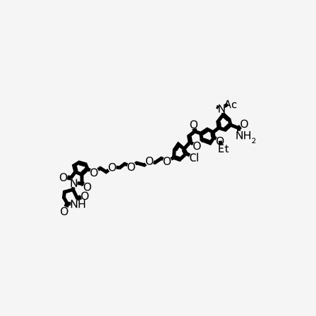 CCOc1cc2oc(-c3ccc(OCCOCCOCCOCCOc4cccc5c4C(=O)N(C4CCC(=O)NC4=O)C5=O)cc3Cl)cc(=O)c2cc1-c1cc(C(N)=O)cc(N(C)C(C)=O)c1